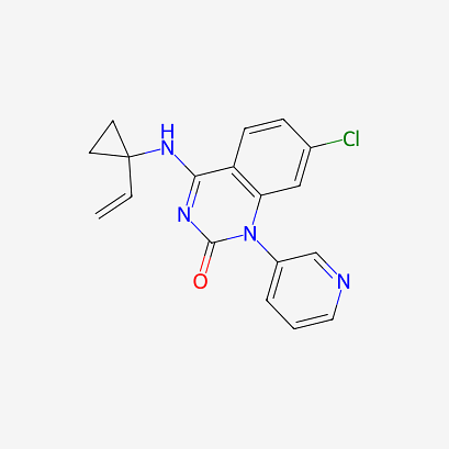 C=CC1(Nc2nc(=O)n(-c3cccnc3)c3cc(Cl)ccc23)CC1